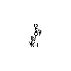 FC(F)(F)c1cc(CNc2ccc3[nH]cnc3c2)ccc1OCc1ccccc1